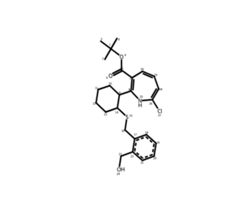 CC(C)(C)OC(=O)C1=C(C2CCCCC2SCc2ccccc2CO)NC(Cl)=CC=C1